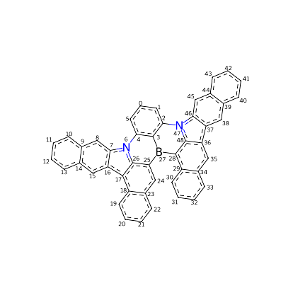 c1cc2c3c(c1)-n1c4cc5ccccc5cc4c4c5ccccc5cc(c41)B3c1c3ccccc3cc3c4cc5ccccc5cc4n-2c13